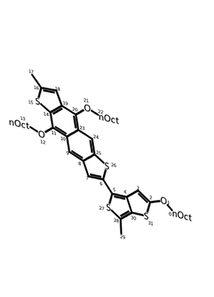 CCCCCCCCOc1cc2c(-c3cc4cc5c(OCCCCCCCC)c6sc(C)cc6c(OCCCCCCCC)c5cc4s3)sc(C)c2s1